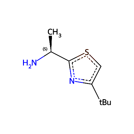 C[C@H](N)c1nc(C(C)(C)C)cs1